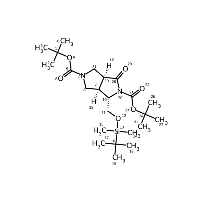 CC(C)(C)OC(=O)N1C[C@@H]2[C@@H](CO[Si](C)(C)C(C)(C)C)N(C(=O)OC(C)(C)C)C(=O)[C@@H]2C1